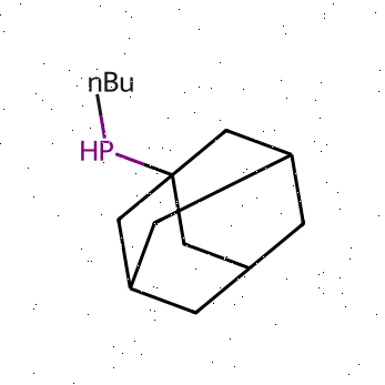 CCCCPC12CC3CC(CC(C3)C1)C2